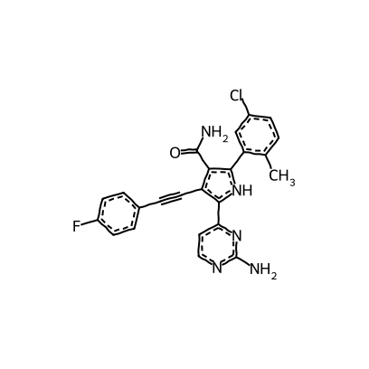 Cc1ccc(Cl)cc1-c1[nH]c(-c2ccnc(N)n2)c(C#Cc2ccc(F)cc2)c1C(N)=O